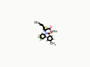 COC(=O)c1sc(C#CC(C)(C)C)cc1N(C(=O)[C@H]1CC[C@H](C)CC1)C1CCC(F)(F)CC1